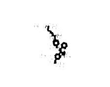 Cc1cc2c(cc1C(=O)O)NC(=O)C2=C(Nc1ccc(S(=O)(=O)NOCCN(C)C)cc1)c1ccccc1